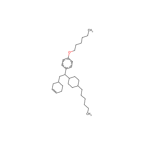 CCCCCCOc1ccc(C(CC2CC=CCC2)C2CCC(CCCCCC)CC2)cc1